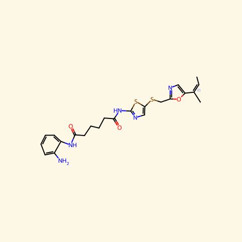 C/C=C(/C)c1cnc(CSc2cnc(NC(=O)CCCCC(=O)Nc3ccccc3N)s2)o1